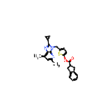 Cc1cc(C)c2nc(C3CC3)n(Cc3ccc(OC(=O)C4Cc5ccccc5C4)s3)c2n1